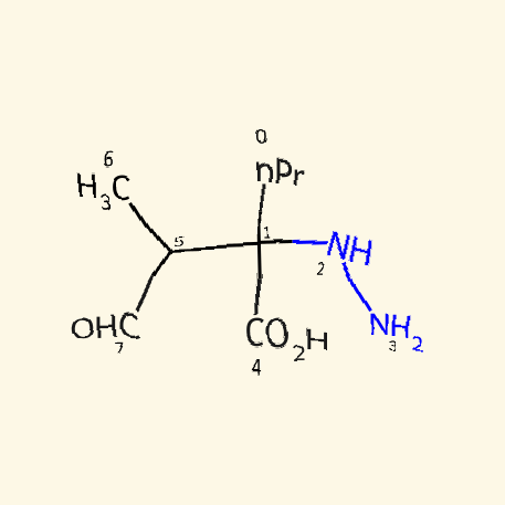 CCCC(NN)(C(=O)O)C(C)C=O